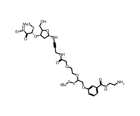 CCNC(=O)[C@@H](O[C@@H]1C[C@H](BC#CCNC(=O)COCCOC(COc2cccc(C(=O)NCCN)c2)SSC(C)(C)C)OC1CO)SSC